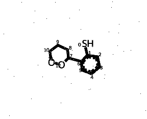 Sc1ccccc1C1CCCOO1